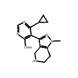 COc1ncnc(C2CC2)c1-c1nn(C)c2c1CNCC2